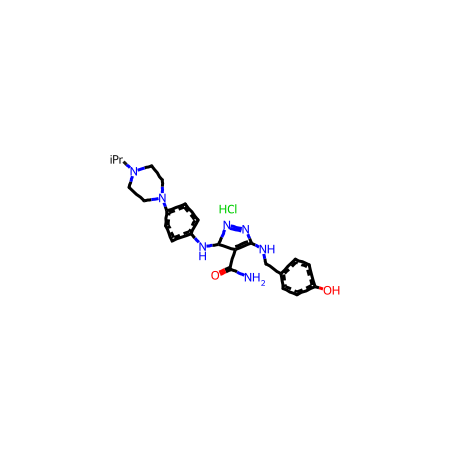 CC(C)N1CCN(c2ccc(NC3N=NC(NCc4ccc(O)cc4)=C3C(N)=O)cc2)CC1.Cl